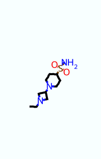 CCN1CC(N2CCC(S(N)(=O)=O)CC2)C1